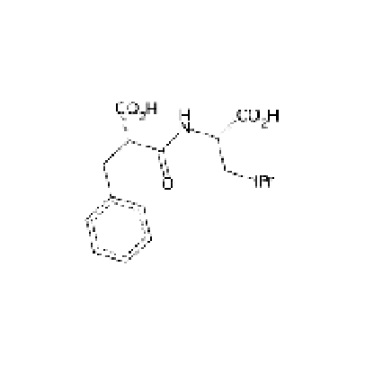 CC(C)C[C@H](NC(=O)[C@H](Cc1ccccc1)C(=O)O)C(=O)O